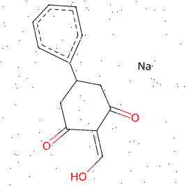 O=C1CC(c2ccccc2)CC(=O)C1=CO.[Na]